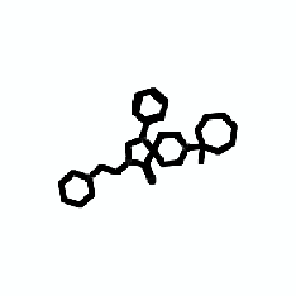 CC1(N2CCC3(CC2)C(=O)N(CCN2CCCCC2)CN3c2ccccc2)CCCCCC1